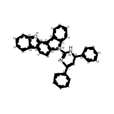 C1=C(c2ccccc2)N=C(n2c3ccccc3c3c4oc5ccccc5c4ccc32)NC1c1ccccc1